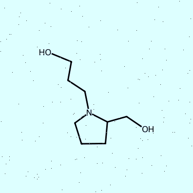 OCCCN1CCCC1CO